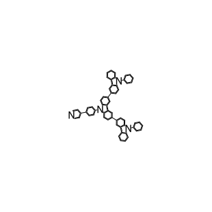 c1ccc(-n2c3ccccc3c3cc(-c4ccc5c(c4)c4cc(-c6ccc7c(c6)c6ccccc6n7-c6ccccc6)ccc4n5-c4ccc(-c5ccncc5)cc4)ccc32)cc1